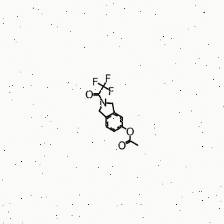 CC(=O)Oc1ccc2c(c1)CN(C(=O)C(F)(F)F)C2